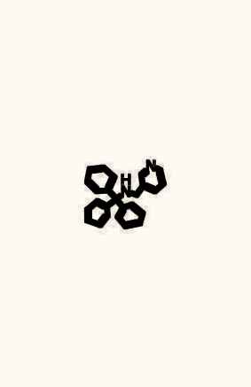 c1ccc(C(NCc2cccnc2)(c2ccccc2)c2ccccc2)cc1